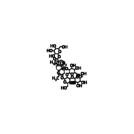 CC1=C[C@@]23CC[C@H]4[C@@](C)(CCC[C@@]4(C)C(=O)OC4OC(CO)C(O)C(O)C4O)[C@@H]2CC[C@]1(OC1OC(CO)C(O)C(OC2OC(CO)C(O)C(O)C2O)C1OC1OC(CO)C(O)C(O)C1O)C3